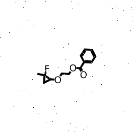 CC1(F)CC1OCCOC(=O)c1ccccc1